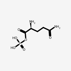 NC(=O)CC[C@H](N)C(=O)OP(=O)(O)O